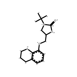 CC(C)(C)N1CC(COc2cccc3c2SCCC3)OC1=O